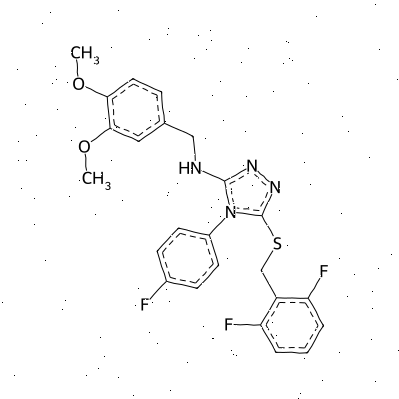 COc1ccc(CNc2nnc(SCc3c(F)cccc3F)n2-c2ccc(F)cc2)cc1OC